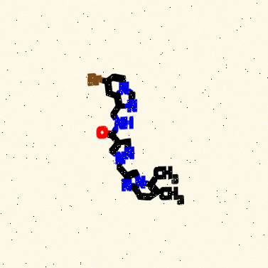 Cc1ccc2nc(Cn3cc(C(=O)NCc4ncn5ccc(Br)cc45)cn3)cn2c1C